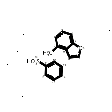 Cc1cccc2occc12.O=S(=O)(O)c1ccccc1